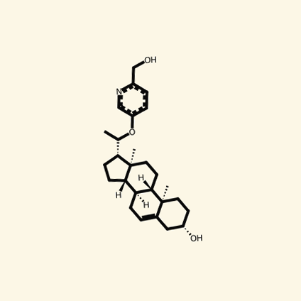 CC(Oc1ccc(CO)nc1)[C@H]1CC[C@H]2[C@@H]3CC=C4C[C@@H](O)CC[C@]4(C)[C@H]3CC[C@]12C